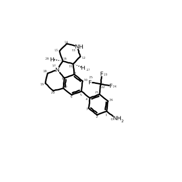 Nc1ccc(-c2cc3c4c(c2)[C@@H]2CNCC[C@@H]2N4CCC3)c(C(F)(F)F)c1